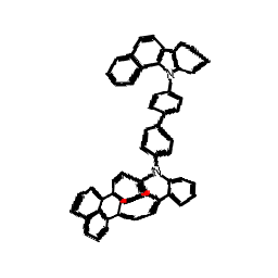 C1=Cc2c(c3ccc4ccccc4c3n2-c2ccc(-c3ccc(N(c4ccc(-c5ccccc5)cc4)c4ccccc4-c4ccc(-c5ccccc5)cc4)cc3)cc2)CC1